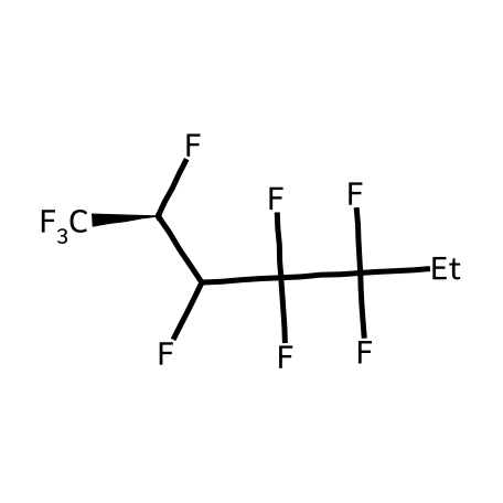 [CH2]CC(F)(F)C(F)(F)C(F)[C@H](F)C(F)(F)F